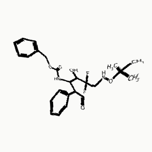 CC(C)(C)ONCC(F)(F)C(O)C(NC(=O)OCc1ccccc1)C(C=O)c1ccccc1